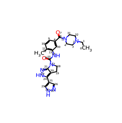 CCN1CCN(C(=O)c2ccc(C)c(NC(=O)N3CCc4c3n[nH]c4-c3cn[nH]c3)c2)CC1